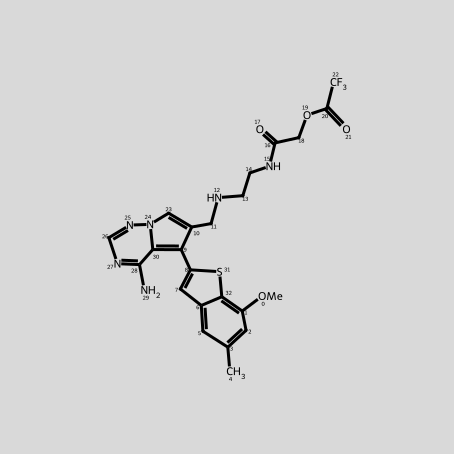 COc1cc(C)cc2cc(-c3c(CNCCNC(=O)COC(=O)C(F)(F)F)cn4ncnc(N)c34)sc12